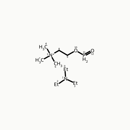 CCN(CC)CC.C[N+](C)(C)CCO[PH2]=O